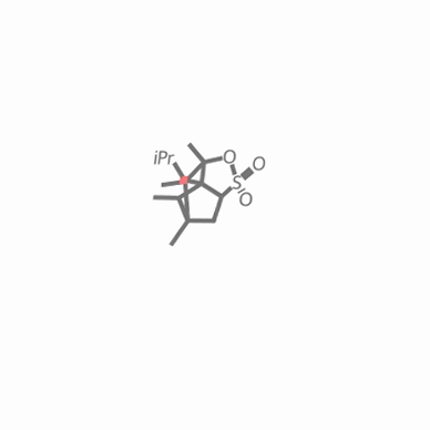 CC1C2(C)CC3C1(C)C(C)(OS3(=O)=O)C2(C)C(C)C